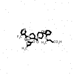 CCC[C@H]1N(C(=O)c2cnccc2C(F)(F)F)CCC[C@@]1(Oc1csc(C)c1)C(=O)N1CCC(O)(c2ccccc2OC(C)CCC(=O)O)CC1